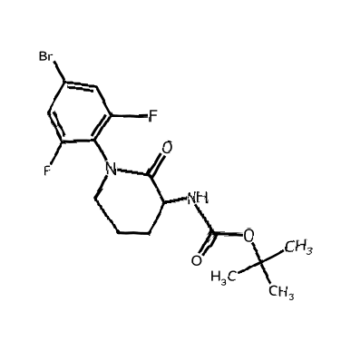 CC(C)(C)OC(=O)NC1CCCN(c2c(F)cc(Br)cc2F)C1=O